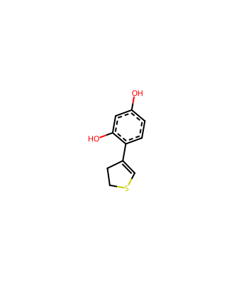 Oc1ccc(C2=CSCC2)c(O)c1